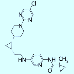 CC1(C(=O)Nc2ccc(NCC[C@@H]3C[C@@H]3C3CCN(c4ncc(Cl)cn4)CC3)cn2)CC1